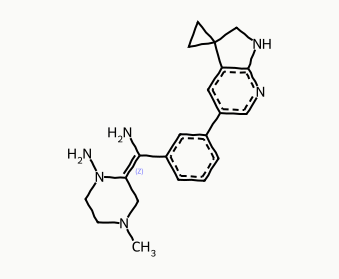 CN1CCN(N)/C(=C(\N)c2cccc(-c3cnc4c(c3)C3(CC3)CN4)c2)C1